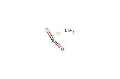 F.[CaH2].[O]=[Ti]=[O]